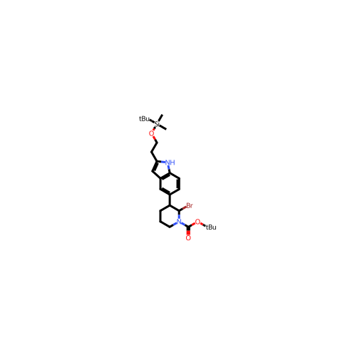 CC(C)(C)OC(=O)N1CCCC(c2ccc3[nH]c(CCO[Si](C)(C)C(C)(C)C)cc3c2)C1Br